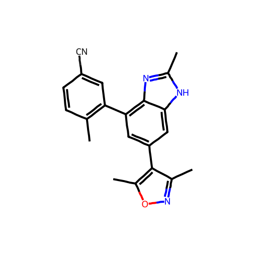 Cc1nc2c(-c3cc(C#N)ccc3C)cc(-c3c(C)noc3C)cc2[nH]1